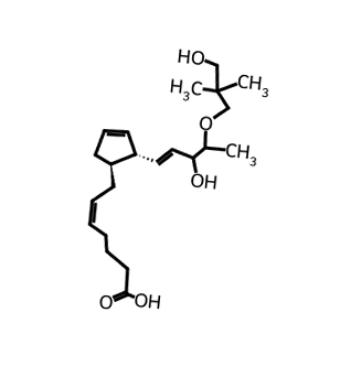 CC(OCC(C)(C)CO)C(O)C=C[C@H]1C=CC[C@@H]1C/C=C\CCCC(=O)O